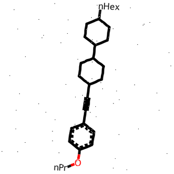 CCCCCCC1CCC(C2CCC(C#Cc3ccc(OCCC)cc3)CC2)CC1